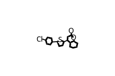 O=c1cc(-c2ccc(-c3ccc(Cl)cc3)s2)c2ccccc2o1